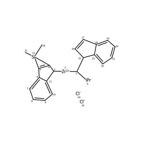 CC(C)[CH]([Zr+2][CH]1C2=C(c3ccccc31)[Si]2(C)C)C1C=Cc2ccccc21.[Cl-].[Cl-]